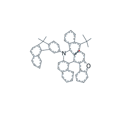 CC(C)(C)c1ccc(N(c2ccc3c(c2)-c2c(ccc4ccccc24)C3(C)C)c2ccc3ccccc3c2-c2cccc3oc4ccccc4c23)c2ccccc12